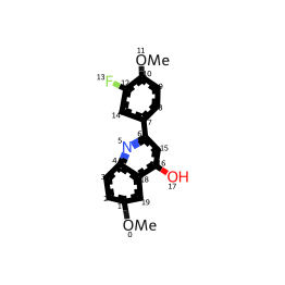 COc1ccc2nc(-c3ccc(OC)c(F)c3)cc(O)c2c1